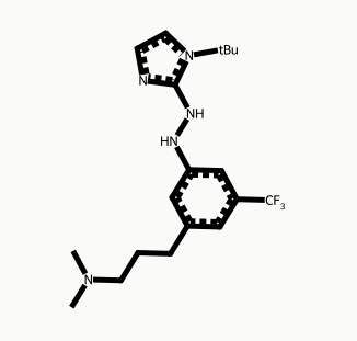 CN(C)CCCc1cc(NNc2nccn2C(C)(C)C)cc(C(F)(F)F)c1